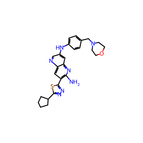 Nc1nc2cc(Nc3ccc(CN4CCOCC4)cc3)cnc2cc1-c1nnc(C2CCCC2)s1